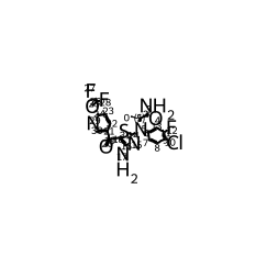 C[C@@H](C(N)=O)N(c1ccc(Cl)c(F)c1)c1nc(N)c(C(=O)c2ccc(OC(F)F)nc2)s1